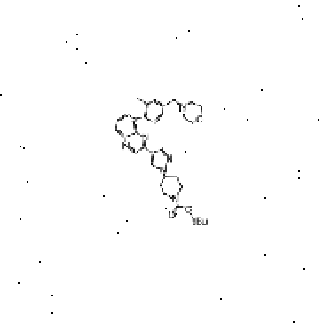 Cc1cc(CN2CCOCC2)ccc1-c1cccc2ncc(-c3cnn(C4CCN(C(=O)OC(C)(C)C)CC4)c3)nc12